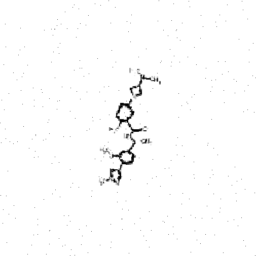 COc1cc([C@@H](C)NC(=O)c2cc(N3CC(N(C)C)C3)ccc2C)ccc1-c1cnn(C)c1